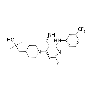 CC(C)(O)CC1CCN(c2nc(Cl)nc(Nc3cccc(C(F)(F)F)c3)c2C=N)CC1